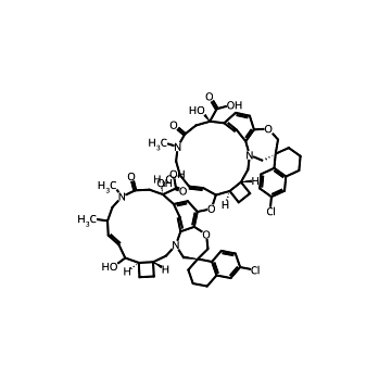 CC1/C=C/C(O)[C@@H]2CC[C@H]2CN2C[C@@]3(CCCc4cc(Cl)ccc43)COc3c(OC4/C=C/[C@H](C)CN(C)C(=O)C[C@](O)(C(=O)O)c5ccc6c(c5)N(C[C@@H]5CC[C@@H]45)C[C@@]4(CCCc5cc(Cl)ccc54)CO6)cc(cc32)[C@](O)(C(=O)O)CC(=O)N(C)C1